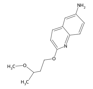 COC(C)CCOc1ccc2cc(N)ccc2n1